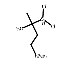 CCCCCCCC(C)(O)[SiH](Cl)Cl